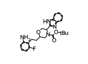 CC(C)(C)OC(=O)N1CC(CCc2c(N)cccc2F)OCC1c1nc2ccccc2[nH]1